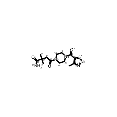 Cc1nnsc1C(=O)N1CCN(C(=O)CC(C)(C)C(N)=O)CC1